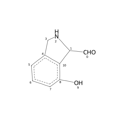 O=CC1NCc2cccc(O)c21